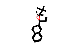 C=CC(O[Si](C)(C)C(C)(C)C)c1ccc2ccccc2c1